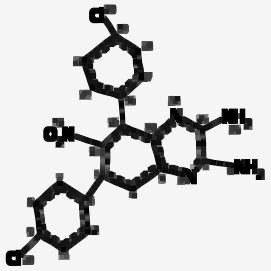 Nc1nc2cc(-c3ccc(Cl)cc3)c([N+](=O)[O-])c(-c3ccc(Cl)cc3)c2nc1N